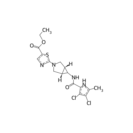 CCOC(=O)c1cnc(N2C[C@@H]3C(NC(=O)c4[nH]c(C)c(Cl)c4Cl)[C@@H]3C2)s1